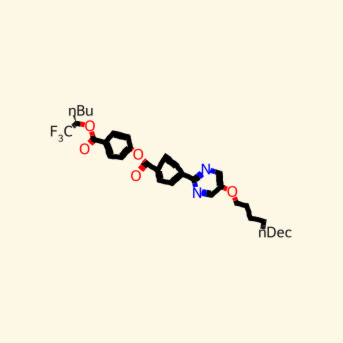 CCCCCCCCCCCCCCOc1cnc(-c2ccc(C(=O)Oc3ccc(C(=O)O[C@@H](CCCC)C(F)(F)F)cc3)cc2)nc1